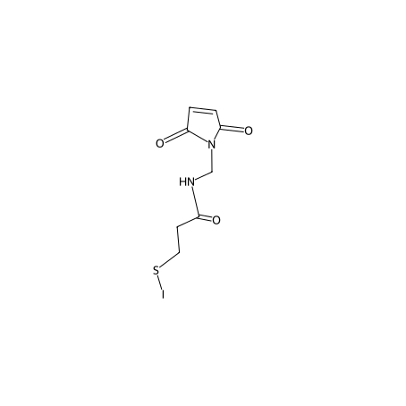 O=C(CCSI)NCN1C(=O)C=CC1=O